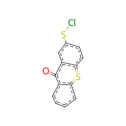 O=c1c2ccccc2sc2ccc(SCl)cc12